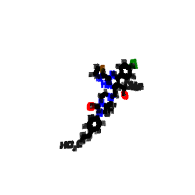 COC(=O)C1=C(CN2CCN3C(=O)N(c4ccc(/C=C/C(=O)O)cc4)C[C@@H]3C2)NC(c2nccs2)=NC1c1ccc(Cl)cc1